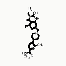 CCN1C(=O)c2c(F)cc(CN3CC=C(c4ccc(C(=O)NC)nc4C)CC3)cc2NC1O